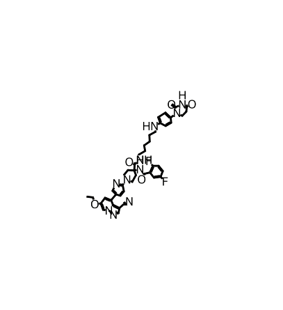 CCOc1cc(-c2ccc(N3CCC(NC(=O)c4cc(F)ccc4F)(C(=O)NCCCCCCNc4ccc(N5CCC(=O)NC5=O)cc4)CC3)nc2)c2c(C#N)cnn2c1